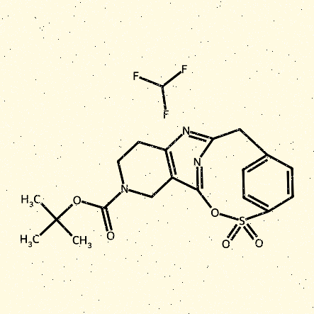 CC(C)(C)OC(=O)N1CCc2nc3nc(c2C1)OS(=O)(=O)c1ccc(cc1)C3.FC(F)F